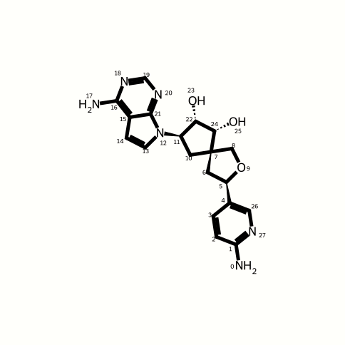 Nc1ccc([C@H]2C[C@@]3(CO2)C[C@@H](n2ccc4c(N)ncnc42)[C@H](O)[C@@H]3O)cn1